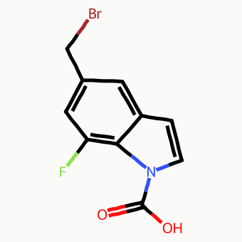 O=C(O)n1ccc2cc(CBr)cc(F)c21